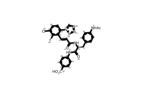 CC(=O)Nc1ccc(C[C@H](NC(=O)/C=C/c2c(-n3cnnn3)ccc(Cl)c2F)C(=O)Nc2ccc(C(=O)O)cc2)cc1